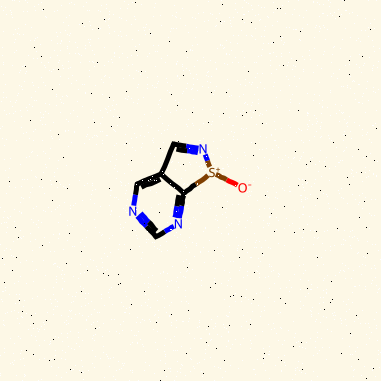 [O-][s+]1ncc2cncnc21